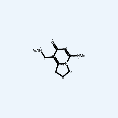 CNc1cc(=O)c(CNC(C)=O)c2n1CCC2